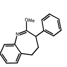 COC1=Nc2ccccc2CCC1c1ccccc1